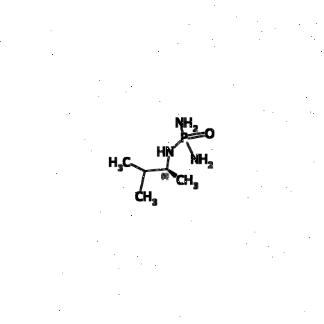 CC(C)[C@H](C)NP(N)(N)=O